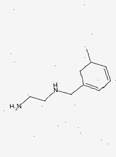 CC1C=CC=C(CNCCN)C1